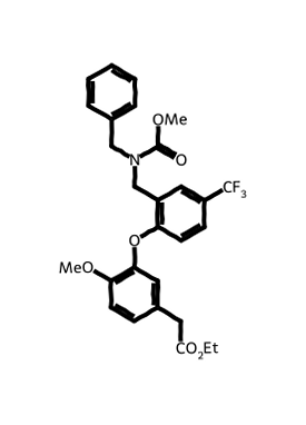 CCOC(=O)Cc1ccc(OC)c(Oc2ccc(C(F)(F)F)cc2CN(Cc2ccccc2)C(=O)OC)c1